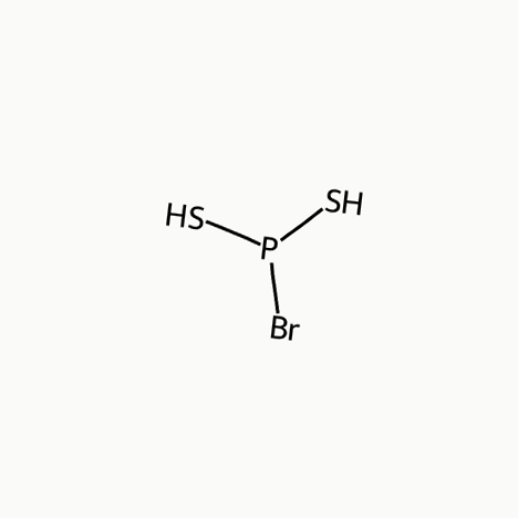 SP(S)Br